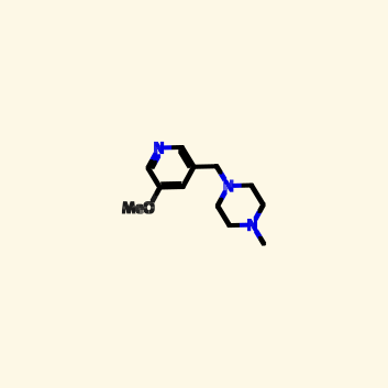 COc1cncc(CN2CCN(C)CC2)c1